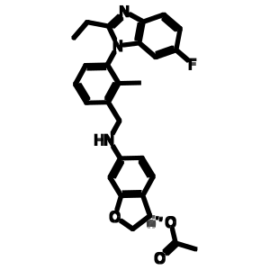 CCc1nc2ccc(F)cc2n1-c1cccc(CNc2ccc3c(c2)OC[C@H]3OC(C)=O)c1C